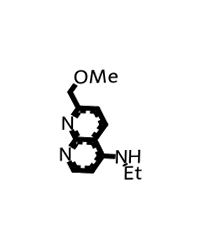 CCNc1ccnc2nc(COC)ccc12